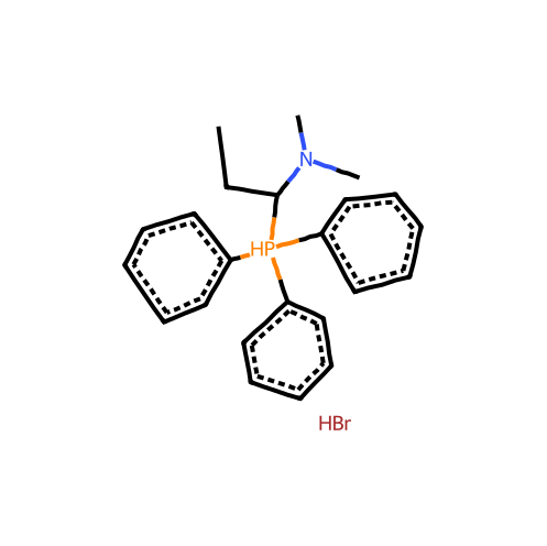 Br.CCC(N(C)C)[PH](c1ccccc1)(c1ccccc1)c1ccccc1